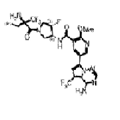 COc1ncc(-c2cc(C(F)(F)F)c3c(N)ncnn23)cc1C(=O)N[C@@H]1CN(C(=O)C(N)(CC(C)C)C(F)(F)F)C[C@@H]1F